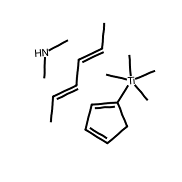 CC=CC=CC.CNC.[CH3][Ti]([CH3])([CH3])([CH3])[C]1=CC=CC1